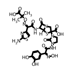 CC(C)(O/N=C(\C(=O)N[C@@H]1C(=O)N2CC(C(=O)O)(N3CCN(NC(=O)/C(=N\O)c4ccc(O)c(O)c4)C3=O)S[C@H]12)c1csc(N)n1)C(=O)O